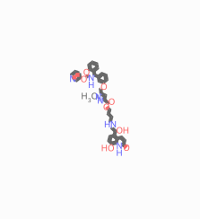 Cn1nc(C(=O)OCCCCNC[C@H](O)c2ccc(O)c3[nH]c(=O)ccc23)cc1COc1cccc(C(NC(=O)OC2CN3CCC2CC3)c2ccccc2)c1